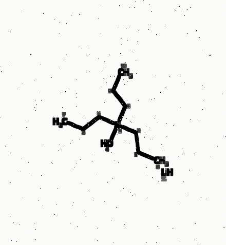 CCC[Si](O)(CCC)CCC.[LiH]